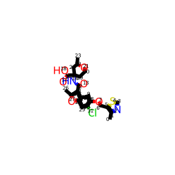 Cc1ncsc1COc1cc2c(C(=O)NC3(C(=O)O)CCOC(C)C3)c(C)oc2cc1Cl